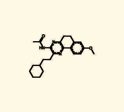 COc1ccc2c(c1)CCc1nc(NC(C)=O)c(CCC3CCCCC3)nc1-2